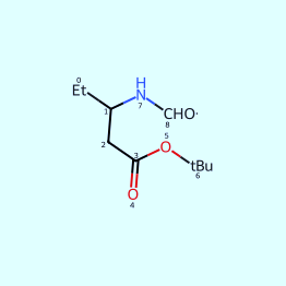 CCC(CC(=O)OC(C)(C)C)N[C]=O